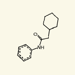 O=C(CC1CCCCC1)Nc1ccccc1